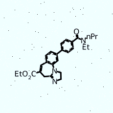 CCCN(CC)C(=O)c1ccc(-c2ccc3c(c2)N2CCN=C2CC(C(=O)OCC)=C3)cc1